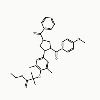 CCOC(=O)C(C)(C)Oc1c(C)cc([C@H]2CN(C(=O)c3ccccc3)CC2C(=O)c2ccc(SC)cc2)cc1C